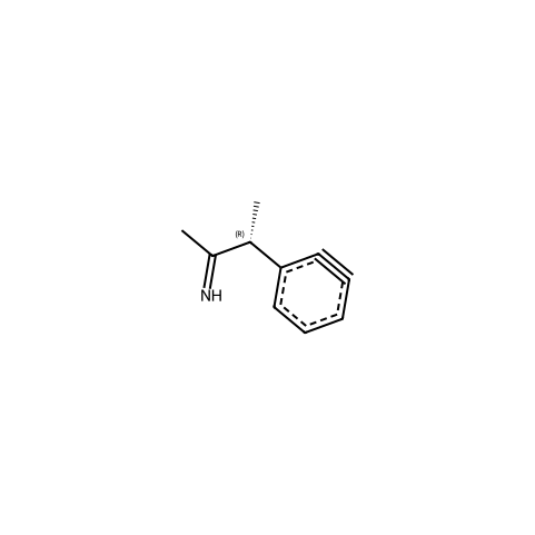 CC(=N)[C@H](C)c1c#cccc1